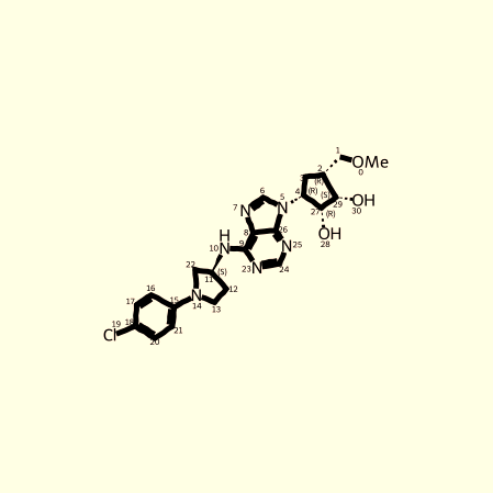 COC[C@H]1C[C@@H](n2cnc3c(N[C@H]4CCN(c5ccc(Cl)cc5)C4)ncnc32)[C@@H](O)[C@H]1O